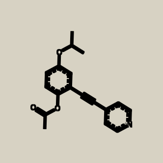 CC(=O)Oc1ccc(OC(C)C)cc1C#Cc1ccncc1